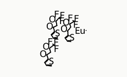 O=C(CC(=O)C(F)(F)F)c1cccs1.O=C(CC(=O)C(F)(F)F)c1cccs1.O=C(CC(=O)C(F)(F)F)c1cccs1.[Eu]